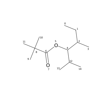 CCC(C)C(OC(=O)C(C)(C)C)C(C)C